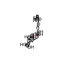 O=C(O)CN(CCN(CC(=O)O)CC(Cc1ccc(NC(=S)NCCOCCOCCNC(=O)C2=C(C(F)(F)F)C3C=CC2O3)cc1)N(CC(=O)O)CC(=O)O)CC(=O)O